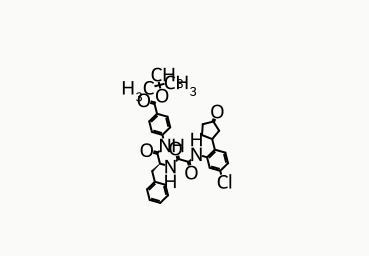 CC(C)(C)OC(=O)c1ccc(NC(=O)[C@H](Cc2ccccc2)NC(=O)C(=O)Nc2cc(Cl)ccc2C2CCC(=O)C2)cc1